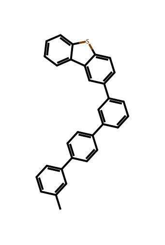 Cc1cccc(-c2ccc(-c3cccc(-c4ccc5sc6ccccc6c5c4)c3)cc2)c1